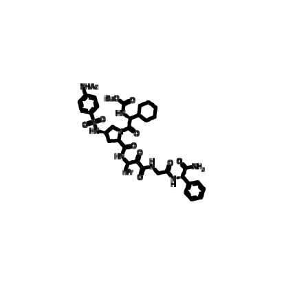 CCCC(NC(=O)C1C[C@@H](NS(=O)(=O)c2ccc(NC(C)=O)cc2)CN1C(=O)[C@@H](NC(=O)OCC(C)C)C1CCCCC1)C(=O)C(=O)NCC(=O)N[C@H](C(N)=O)c1ccccc1